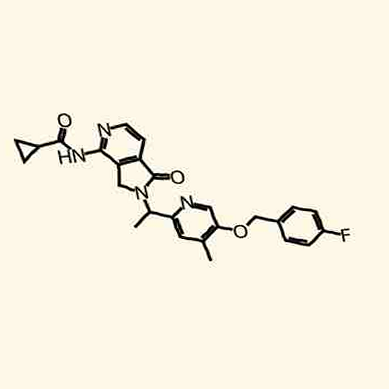 Cc1cc(C(C)N2Cc3c(ccnc3NC(=O)C3CC3)C2=O)ncc1OCc1ccc(F)cc1